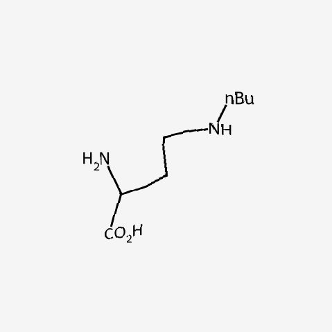 CCCCNCCC(N)C(=O)O